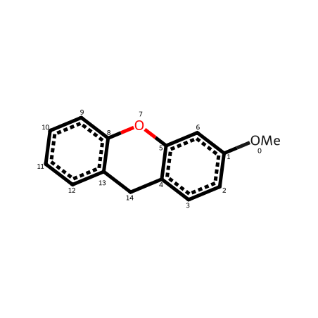 COc1ccc2c(c1)Oc1ccccc1C2